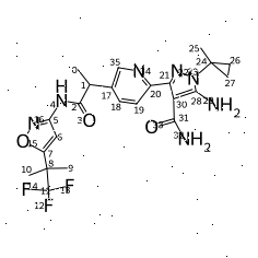 CC(C(=O)Nc1cc(C(C)(C)C(F)(F)F)on1)c1ccc(-c2nn(C3(C)CC3)c(N)c2C(N)=O)nc1